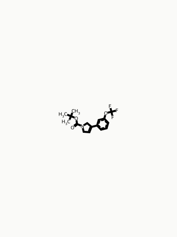 CC(C)(C)OC(=O)N1CC=C(c2cccc(OC(F)(F)F)c2)C1